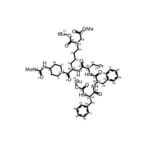 CNC(=O)NC1CCN(C(=O)[C@@H](CCCCN(CC(=O)OC)C(=O)OC(C)(C)C)NC(=O)[C@@H](CC(C)C)NC(=O)[C@@H](Cc2ccccc2)NC(=O)[C@@H](Cc2ccccc2)NC(=O)OC(C)(C)C)CC1